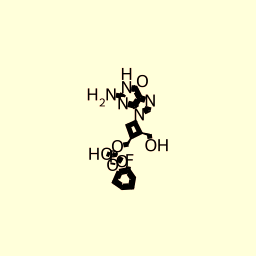 Nc1nc2c(ncn2[C@@H]2C[C@H](COP(=O)(O)Oc3ccccc3F)[C@@H]2CO)c(=O)[nH]1